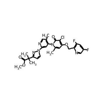 COC(=O)C(C)(C)c1ccn(-c2cc(-n3c(C)cc(OCc4ncc(F)cc4F)c(Cl)c3=O)c(C)cn2)n1